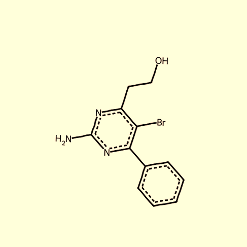 Nc1nc(CCO)c(Br)c(-c2ccccc2)n1